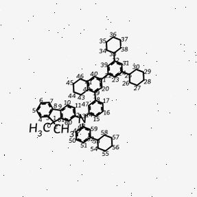 CC1(C)c2ccccc2-c2ccc(N(c3cccc(-c4cc(-c5cc(C6CCCCC6)cc(C6CCCCC6)c5)cc5c4CCCC5)c3)c3cccc(C4CCCCC4)c3)cc21